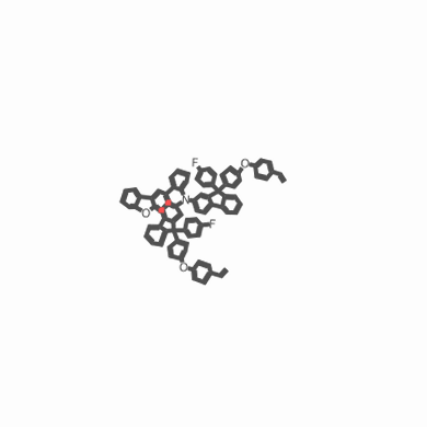 C=Cc1ccc(Oc2ccc(C3(c4ccc(F)cc4)c4ccccc4-c4ccc(N(c5ccc6c(c5)C(c5ccc(F)cc5)(c5ccc(Oc7ccc(C=C)cc7)cc5)c5ccccc5-6)c5ccccc5-c5ccc6oc7ccccc7c6c5)cc43)cc2)cc1